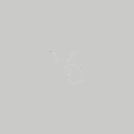 O=C(SS)N1C2CCC1CC2